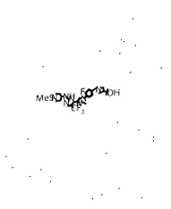 CSN1CCC(Nc2ncc(C(F)(F)F)c(-c3cn(-c4ccc(CN5CC(C(C)(C)O)C5)cc4F)c(C)n3)n2)CC1